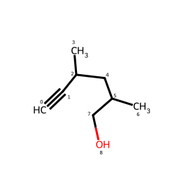 C#CC(C)CC(C)CO